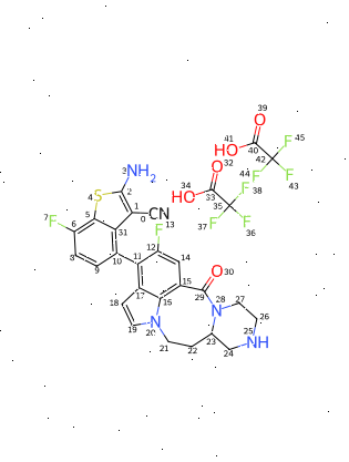 N#Cc1c(N)sc2c(F)ccc(-c3c(F)cc4c5c3ccn5CCC3CNCCN3C4=O)c12.O=C(O)C(F)(F)F.O=C(O)C(F)(F)F